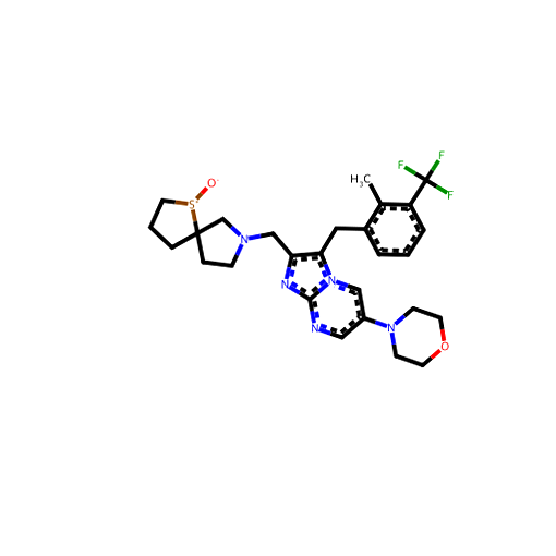 Cc1c(Cc2c(CN3CCC4(CCC[S+]4[O-])C3)nc3ncc(N4CCOCC4)cn23)cccc1C(F)(F)F